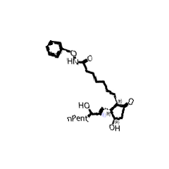 CCCCCC(O)/C=C/[C@H]1[C@H](O)CC(=O)[C@@H]1CCCCCCC(=O)NOc1ccccc1